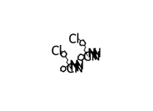 N#CC(CCc1ccc(Cl)cc1)(Cn1cncn1)c1ccccc1.N#CC(CCc1ccc(Cl)cc1)(Cn1cncn1)c1ccccc1